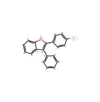 Bc1ccc(-c2oc3ccccc3c2-c2ccccc2)cc1